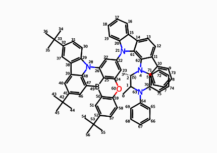 CC([C@H](C)n1c2ccccc2c2ccc3c4ccccc4n(-c4cc5c6c(c4)-n4c7ccc(C(C)(C)C)cc7c7cc(C(C)(C)C)cc(c74)B6c4cc(C(C)(C)C)ccc4O5)c3c21)N(c1ccccc1)c1ccccc1